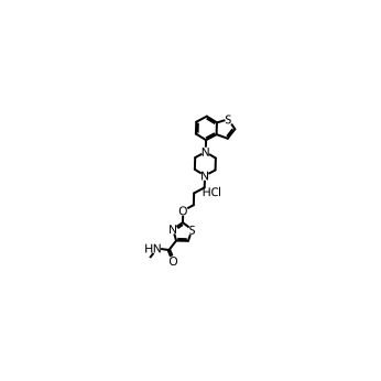 CNC(=O)c1csc(OCCCN2CCN(c3cccc4sccc34)CC2)n1.Cl